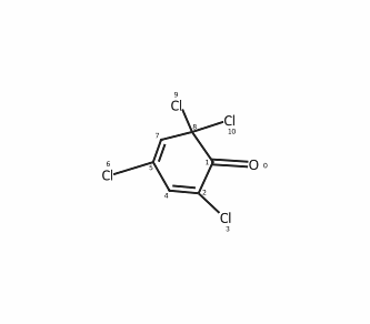 O=C1C(Cl)=CC(Cl)=CC1(Cl)Cl